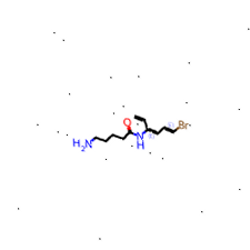 C=C/C(=C\C=C\Br)NC(=O)CCCCN